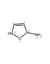 NN1C=CNO1